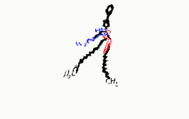 CCCCCCCCCCCCCCOCC(CNC(=O)C(CCCCN)NCc1ccc(-c2ccccc2)cc1)OCCCCCCCCCCCCCC